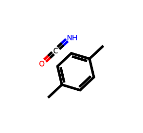 Cc1ccc(C)cc1.N=C=O